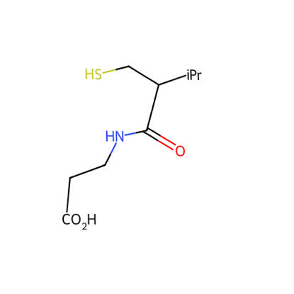 CC(C)C(CS)C(=O)NCCC(=O)O